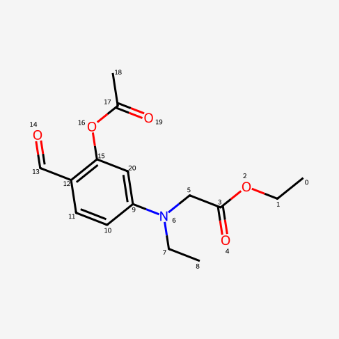 CCOC(=O)CN(CC)c1ccc(C=O)c(OC(C)=O)c1